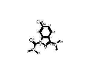 CN(C)C(=O)n1nc(N(C)C)c2ccc(Cl)cc21